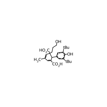 CC1=CC(CCCO)(C(=O)O)C(c2cc(C(C)(C)C)c(O)c(C(C)(C)C)c2)C(C(=O)O)=C1